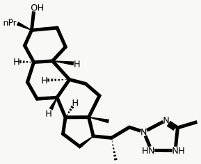 CCC[C@@]1(O)CC[C@H]2[C@@H](CC[C@@H]3[C@@H]2CC[C@]2(C)[C@@H]([C@@H](C)CN4N=C(C)NN4)CC[C@@H]32)C1